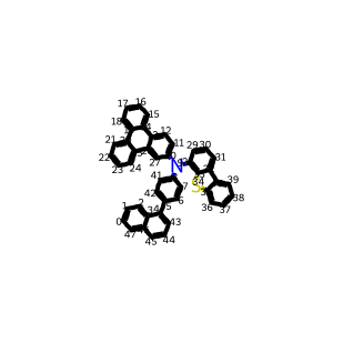 c1ccc2c(-c3ccc(N(c4ccc5c6ccccc6c6ccccc6c5c4)c4cccc5c4sc4ccccc45)cc3)cccc2c1